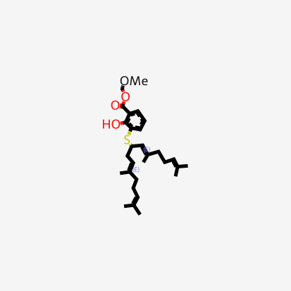 COCOC(=O)c1cccc(SC(/C=C(\C)CCC=C(C)C)C/C=C(\C)CCC=C(C)C)c1O